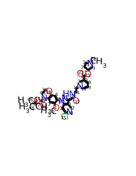 COc1cc2c(cc1-n1nc(C(=O)NCCN3C=CC=C(C(=O)O[C@@H]4CCN(C)C4)C3)c3cnc(Cl)cc31)OCCN2C(=O)OC(C)(C)C